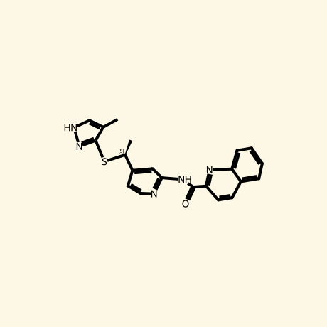 Cc1c[nH]nc1S[C@@H](C)c1ccnc(NC(=O)c2ccc3ccccc3n2)c1